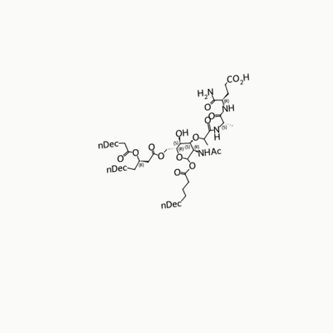 CCCCCCCCCCCCCC(=O)OC1O[C@H](COC(=O)C[C@@H](CCCCCCCCCCC)OC(=O)CCCCCCCCCCC)[C@@H](O)[C@@H](OC(C)C(=O)N[C@@H](C)C(=O)N[C@H](CCC(=O)O)C(N)=O)[C@H]1NC(C)=O